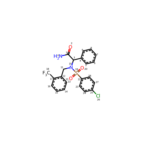 NC(=O)C(c1ccccc1)N(Cc1ccccc1C(F)(F)F)S(=O)(=O)c1ccc(Cl)cc1